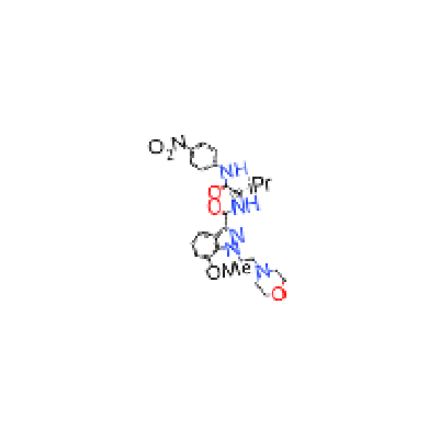 COc1cccc2c(C(=O)N[C@H](C(=O)Nc3ccc([N+](=O)[O-])cc3)C(C)C)nn(CCN3CCOCC3)c12